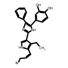 CCc1c(-c2nc(-c3ccccc3)c(-c3ccc(O)c(O)c3)[nH]2)c[nH]c1/C=C\CBr